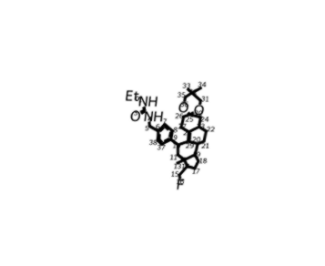 CCNC(=O)NCc1ccc(C2CC3(C)C(CF)CCC3C3CCC4CC5(CCC4=C23)OCC(C)(C)CO5)cc1